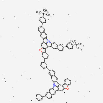 CC(C)(C)c1ccc(-c2ccc3cc4c5cc6oc7cc(-c8cccc(-c9ccc%10cc%11c%12c%13c(cc%14c%15cc%16ccc(-c%17ccccc%17)cc%16cc%15n(c%11cc%10c9)c%14%12)oc9ccccc9%13)c8)ccc7c6c6c7cc8ccc(-c9ccc(C(C)(C)C)cc9)cc8cc7n(c4cc3c2)c56)cc1